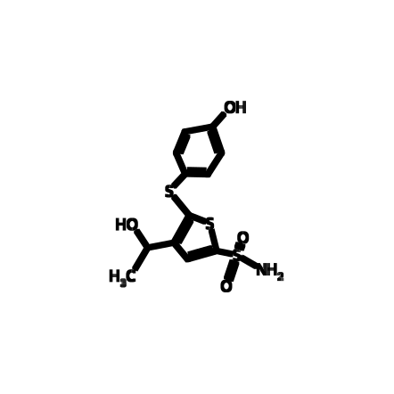 CC(O)c1cc(S(N)(=O)=O)sc1Sc1ccc(O)cc1